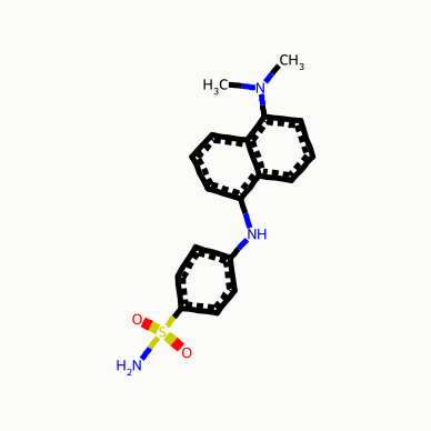 CN(C)c1cccc2c(Nc3ccc(S(N)(=O)=O)cc3)cccc12